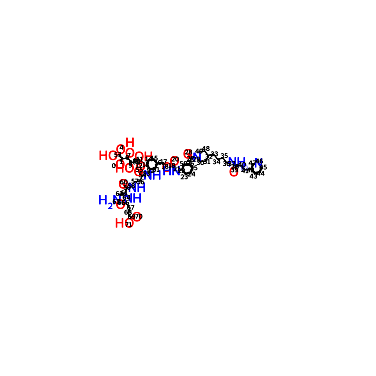 COC(C(=O)O)C(O)C(O)[C@H](O)Oc1ccc(COC(=O)Nc2cccc(C(=O)N3CCC(CCCCNC(=O)/C=C/c4cccnc4)CC3)c2)cc1NC(=O)CCNC(=O)C(CN)NC(=O)CCC(=O)O